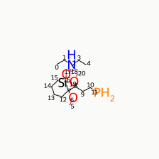 CCNCC.COC1(CCCP)CCCC[Si]1(OC)OC